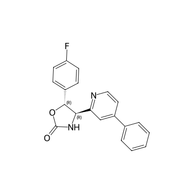 O=C1N[C@H](c2cc(-c3ccccc3)ccn2)[C@@H](c2ccc(F)cc2)O1